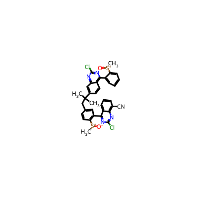 C[S+]([O-])c1ccccc1-c1nc(Cl)nc2cc(C(C)(C)Cc3ccc([S+](C)[O-])c(-c4nc(Cl)nc5c(C#N)cccc45)c3)ccc12